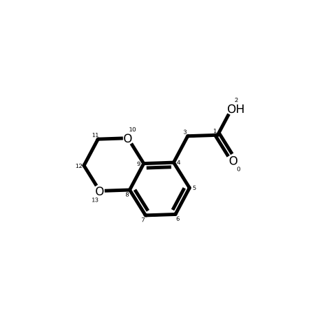 O=C(O)Cc1cccc2c1OCCO2